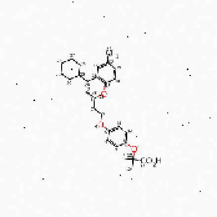 C[C@H](CCOc1ccc(OC(C)(C)C(=O)O)cc1)Oc1ccc(C(F)(F)F)cc1CC1CCCCC1